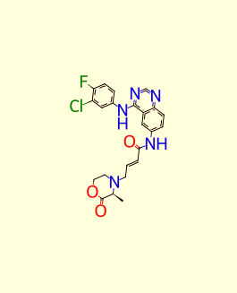 C[C@H]1C(=O)OCCN1C/C=C/C(=O)Nc1ccc2ncnc(Nc3ccc(F)c(Cl)c3)c2c1